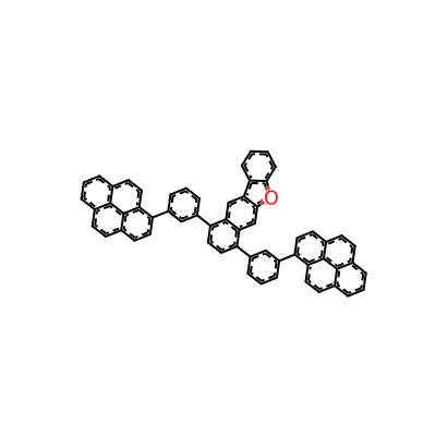 c1cc(-c2ccc(-c3cccc(-c4ccc5ccc6cccc7ccc4c5c67)c3)c3cc4c(cc23)oc2ccccc24)cc(-c2ccc3ccc4cccc5ccc2c3c45)c1